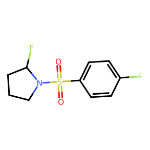 O=S(=O)(c1ccc(F)cc1)N1CCCC1F